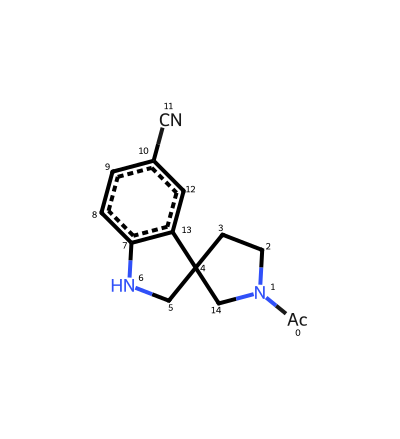 CC(=O)N1CCC2(CNc3ccc(C#N)cc32)C1